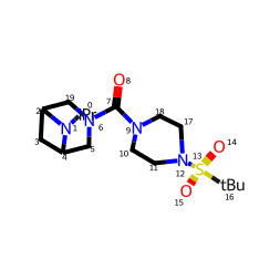 CC(C)N1C2CC1CN(C(=O)N1CCN(S(=O)(=O)C(C)(C)C)CC1)C2